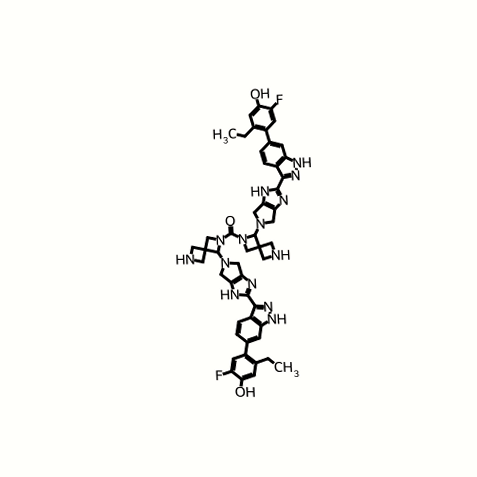 CCc1cc(O)c(F)cc1-c1ccc2c(-c3nc4c([nH]3)CN(C3N(C(=O)N5CC6(CNC6)C5N5Cc6nc(-c7n[nH]c8cc(-c9cc(F)c(O)cc9CC)ccc78)[nH]c6C5)CC35CNC5)C4)n[nH]c2c1